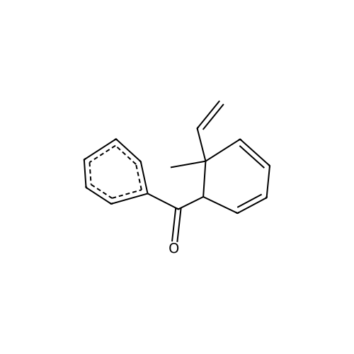 C=CC1(C)C=CC=CC1C(=O)c1ccccc1